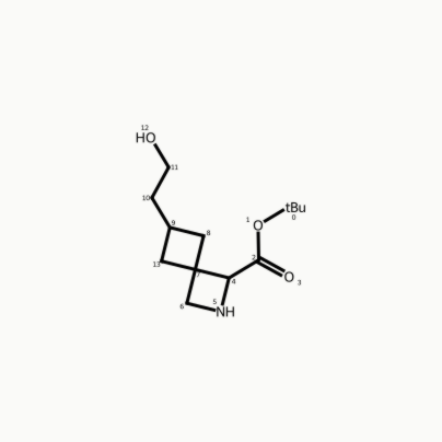 CC(C)(C)OC(=O)C1NCC12CC(CCO)C2